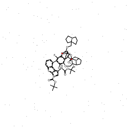 CC(C)(C)OC(=O)Nc1cn(C(=O)OC(C)(C)C)c2sc3cccc(-c4c(Cl)c5c6c(nc(OCC78CCCN7CCC8)nc6c4F)N4CC6CCC([C@H]4CO5)N6C(=O)OC(C)(C)C)c3c12